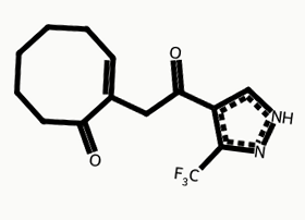 O=C1CCCCCC=C1CC(=O)c1c[nH]nc1C(F)(F)F